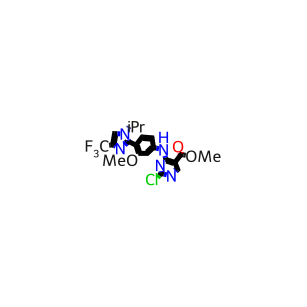 COC(=O)c1cnc(Cl)nc1Nc1ccc(-c2nc(C(F)(F)F)cn2C(C)C)c(OC)c1